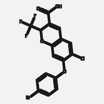 O=C(O)C1=Cc2cc(Cl)c(Oc3ccc(Br)cc3)cc2OC1C(F)(F)F